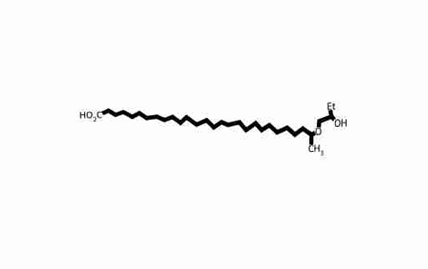 CCC(O)COC(C)CCCCCCCCCCCCCCCCCCCCCCCCCC(=O)O